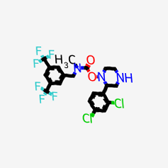 CN(Cc1cc(C(F)(F)F)cc(C(F)(F)F)c1)C(=O)ON1CCNCC1c1ccc(Cl)cc1Cl